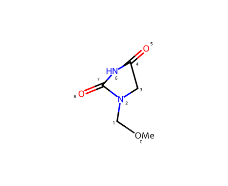 COCN1CC(=O)NC1=O